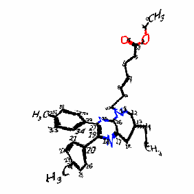 CCOC(=O)CCCCCCN1CC(CC)Cc2nc(-c3ccc(C)cc3)c(-c3ccc(C)cc3)nc21